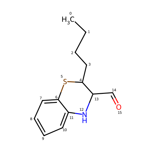 CCCCC1Sc2ccccc2NC1C=O